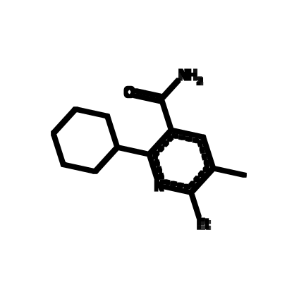 CCc1nc(C2CCCCC2)c(C(N)=O)cc1C